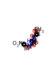 CC(C)C[C@H](NC(=O)c1ccc([N+](=O)[O-])cc1)C(=O)N1CCC2[C@H]1C(=O)CN2C(=O)c1cccc(S(C)(=O)=O)c1